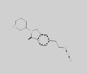 [N-]=[N+]=NCCc1ccc2c(c1)CN(C1CCCNC1)C2=O